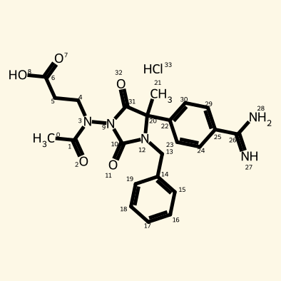 CC(=O)N(CCC(=O)O)N1C(=O)N(Cc2ccccc2)C(C)(c2ccc(C(=N)N)cc2)C1=O.Cl